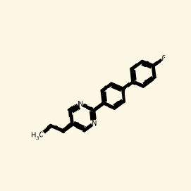 CCCc1cnc(-c2ccc(-c3ccc(F)cc3)cc2)nc1